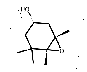 CC1(C)C[C@H](O)C[C@]2(C)O[C@]12C